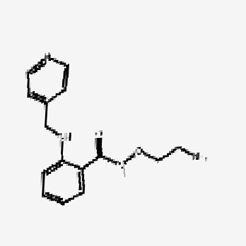 NCCONC(=O)c1ccccc1NCc1ccncc1